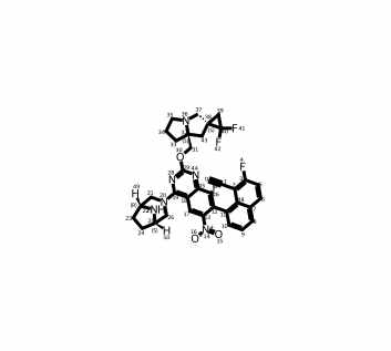 C#Cc1c(F)ccc2cccc(-c3c([N+](=O)[O-])cc4c(N5C[C@H]6CC[C@@H](C5)N6)nc(OC[C@@]56CCCN5C[C@@]5(CC5(F)F)C6)nc4c3F)c12